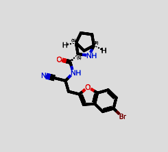 N#CC(Cc1cc2cc(Br)ccc2o1)NC(=O)[C@H]1N[C@@H]2CC[C@H]1C2